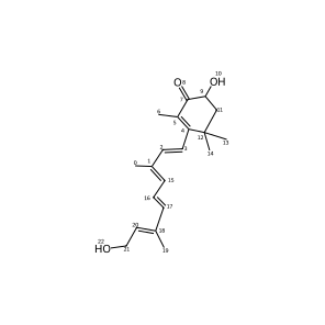 CC(C=CC1=C(C)C(=O)C(O)CC1(C)C)=CC=CC(C)=CCO